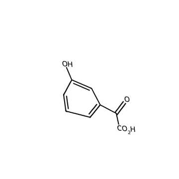 O=C(O)C(=O)c1cccc(O)c1